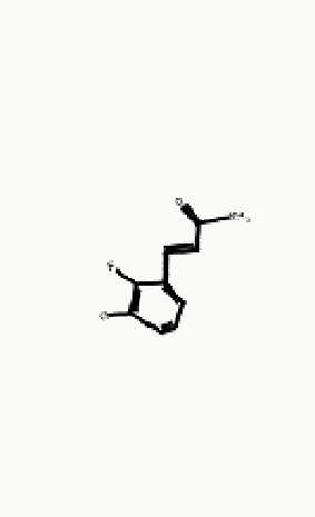 NC(=O)C=Cc1cccc(Cl)c1F